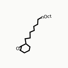 CCCCCCCCCCCCCCCC1CCCC2OC12